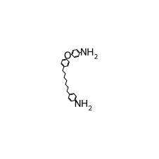 Nc1ccc(CCCCCCCc2ccc(Oc3ccc(N)cc3)cc2)cc1